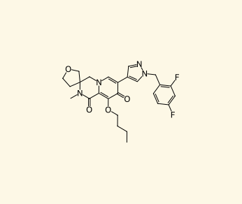 CCCCOc1c2n(cc(-c3cnn(Cc4ccc(F)cc4F)c3)c1=O)CC1(CCOC1)N(C)C2=O